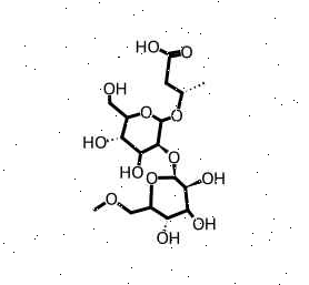 COCC1O[C@@H](O[C@@H]2C(O[C@@H](C)CC(=O)O)OC(CO)[C@@H](O)C2O)[C@@H](O)C(O)[C@@H]1O